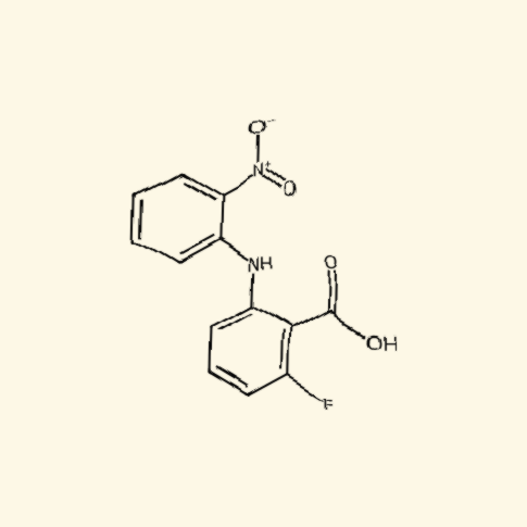 O=C(O)c1c(F)cccc1Nc1ccccc1[N+](=O)[O-]